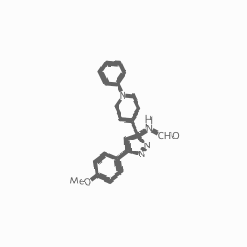 COc1ccc(C2=CC(NC=O)(C3CCN(c4ccccc4)CC3)N=N2)cc1